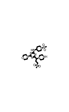 CS(=O)(=O)CCC(c1nc(NC2CCN(S(C)(=O)=O)CC2)nc(N2CCOCC2)n1)N1CCNCC1